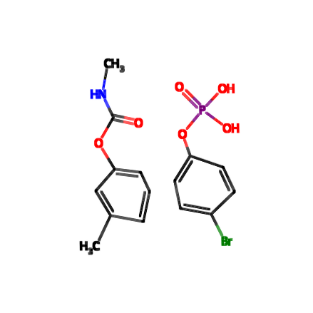 CNC(=O)Oc1cccc(C)c1.O=P(O)(O)Oc1ccc(Br)cc1